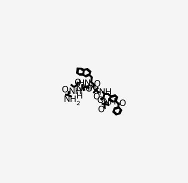 CC(NC(=O)C(C)(C)N)C(=O)NC(C)(C)C(=O)NC(Cc1ccc2ccccc2c1)C(=O)NC(C)(C)C(=O)NC(Cc1ccc(C(=O)c2ccccc2)cc1)C(=O)NC(C)(C)C=O